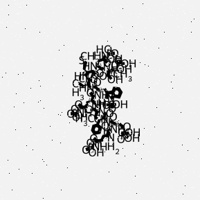 CSCC[C@H](NC(=O)[C@H](CC(C)C)NC(=O)[C@H](Cc1cn(P(=O)(O)O)c2ccccc12)NC(=O)[C@H](CCC(=O)NP(=O)(O)O)NC(=O)[C@@H](NC(=O)[C@H](Cc1ccccc1)NC(=O)[C@H](CC(=O)OP(=O)(O)O)NC(=O)[C@@H](N)CCC(=O)NP(=O)(O)O)C(C)C)C(=O)N[C@@H](CC(=O)NP(=O)(O)O)C(=O)N[C@H](C(=O)O)[C@@H](C)OP(=O)(O)O